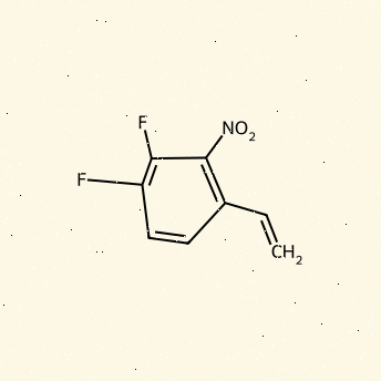 C=Cc1ccc(F)c(F)c1[N+](=O)[O-]